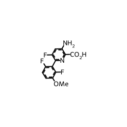 COc1ccc(F)c(-c2nc(C(=O)O)c(N)cc2F)c1F